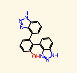 Oc1cccc(-c2cccc3[nH]nnc23)c1-c1cccc2[nH]nnc12